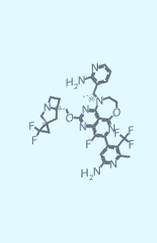 Cc1nc(N)cc(-c2nc3c4c(nc(OC[C@@]56CCN5C[C@]5(CC5(F)F)C6)nc4c2F)N([C@H](C)c2cccnc2N)CCO3)c1C(F)(F)F